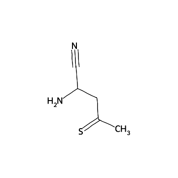 CC(=S)CC(N)C#N